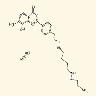 Cl.Cl.Cl.NCCCNCCCCNCCCc1ccc(-c2cc(=O)c3ccc(O)c(O)c3o2)cc1